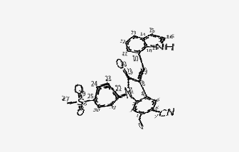 Cc1cc2c(cc1C#N)/C(=C/c1cccc3cc[nH]c13)C(=O)N2c1ccc(S(C)(=O)=O)cc1